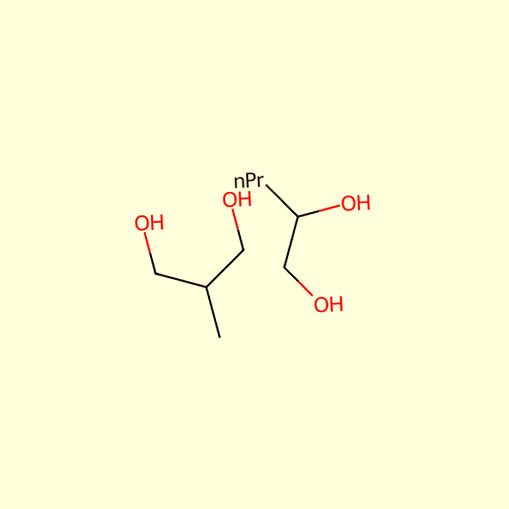 CC(CO)CO.CCCC(O)CO